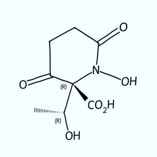 C[C@@H](O)[C@]1(C(=O)O)C(=O)CCC(=O)N1O